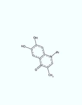 Cc1cn(C(C)C)c2cc(O)c(O)cc2c1=O